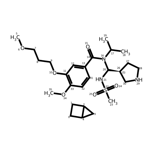 C1CC2CC12.COCCCOc1cc(C(=O)N(C(C)C)C(NS(C)(=O)=O)[C@H]2CCNC2)ccc1OC